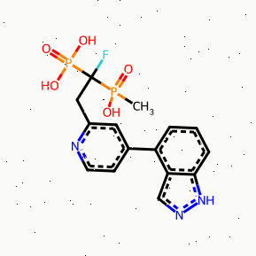 CP(=O)(O)C(F)(Cc1cc(-c2cccc3[nH]ncc23)ccn1)P(=O)(O)O